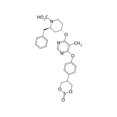 Cc1c(Oc2ccc(C3COS(=O)OC3)cc2)ncnc1O[C@H]1CCN(C(=O)O)[C@H](Cc2ccccc2)C1